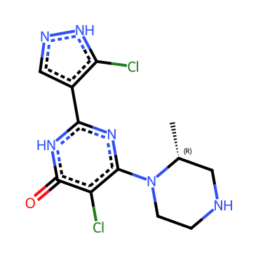 C[C@@H]1CNCCN1c1nc(-c2cn[nH]c2Cl)[nH]c(=O)c1Cl